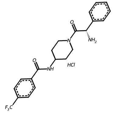 Cl.N[C@H](C(=O)N1CCC(NC(=O)c2ccc(C(F)(F)F)cc2)CC1)c1ccccc1